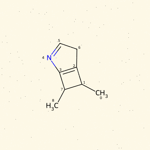 CC1C2=C(N=CC2)C1C